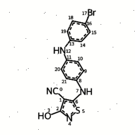 N#Cc1c(O)nsc1Nc1ccc(Nc2ccc(Br)cc2)cc1